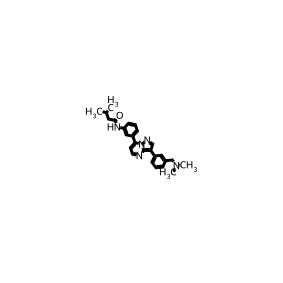 CC(C)CC(=O)Nc1cccc(-c2ccnc3c(-c4cccc(CN(C)C)c4)cnn23)c1